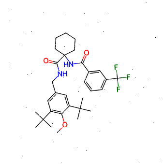 COc1c(C(C)(C)C)cc(CNC(=O)C2(NC(=O)c3cccc(C(F)(F)F)c3)CCCCC2)cc1C(C)(C)C